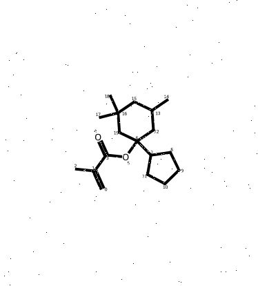 C=C(C)C(=O)OC1(C2CCCC2)CC(C)CC(C)(C)C1